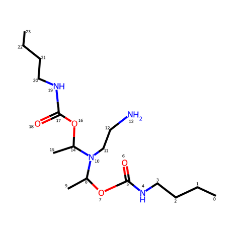 CCCCNC(=O)OC(C)N(CCN)C(C)OC(=O)NCCCC